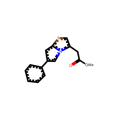 COC(=O)Cc1csc2cc(-c3ccccc3)cn12